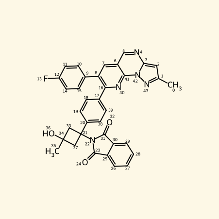 Cc1cc2ncc3cc(-c4ccc(F)cc4)c(-c4ccc(C5(N6C(=O)c7ccccc7C6=O)CC(C)(O)C5)cc4)nc3n2n1